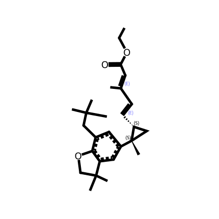 CCOC(=O)/C=C(C)/C=C/[C@@H]1C[C@]1(C)c1cc(CC(C)(C)C)c2c(c1)C(C)(C)CO2